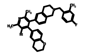 CCc1c(C)nc(C)c(-c2ccc3c(c2)CCN(Cc2ccc(F)cc2C)C3)c1-c1ccc2c(c1)CCCO2